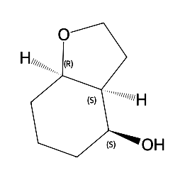 O[C@H]1CCC[C@H]2OCC[C@@H]12